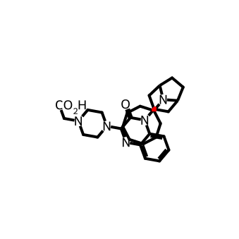 O=C(O)CN1CCN(c2nc3ccccc3n(C3CC4CCC(C3)N4C3CCCCCCC3)c2=O)CC1